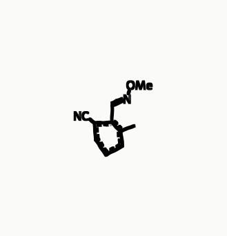 CO/N=C/c1c(C)cccc1C#N